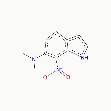 CN(C)c1ccc2cc[nH]c2c1[N+](=O)[O-]